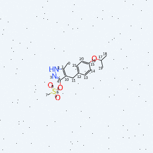 Cc1[nH]nc(OS(C)(=O)=O)c1Cc1ccc(OC(C)C)cc1